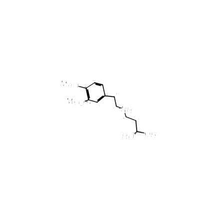 COc1ccc(CCNCCC(O)O)cc1OC